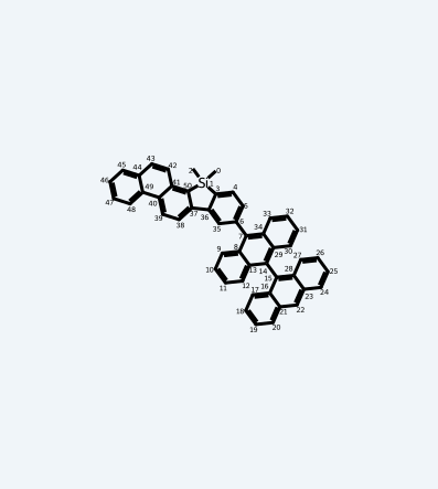 C[Si]1(C)c2ccc(-c3c4ccccc4c(-c4c5ccccc5cc5ccccc45)c4ccccc34)cc2-c2ccc3c(ccc4ccccc43)c21